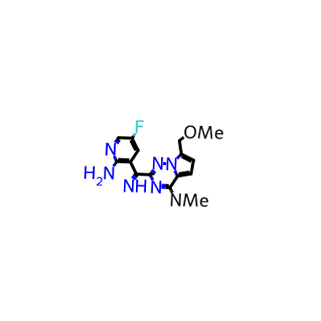 CNc1nc(C(=N)c2cc(F)cnc2N)nn2c(COC)ccc12